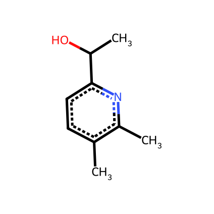 Cc1ccc(C(C)O)nc1C